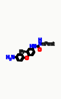 CCCCCNC(=O)Nc1ccc(Oc2ccc(N)cc2)c(C(C)C)c1